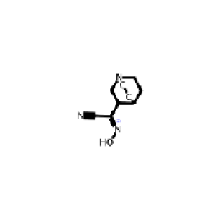 N#C/C(=N\O)C1CN2CCC1CC2